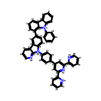 c1ccc(-n2c3ccccc3c3cccc(-c4ccc5c(c4)c4cccnc4n5-c4ccc(-c5cc(-c6ccccn6)nc(-c6ccccn6)c5)cc4)c32)cc1